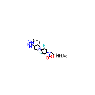 CC(=O)NC[C@H]1CN(c2cc(F)c(N3CCC(c4nnnn4C)CC3)c(F)c2)C(=O)O1